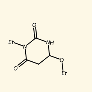 CCOC1CC(=O)N(CC)C(=O)N1